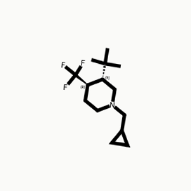 CC(C)(C)[C@@H]1CN(CC2CC2)CC[C@H]1C(F)(F)F